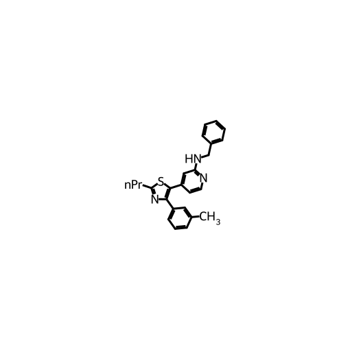 CCCc1nc(-c2cccc(C)c2)c(-c2ccnc(NCc3ccccc3)c2)s1